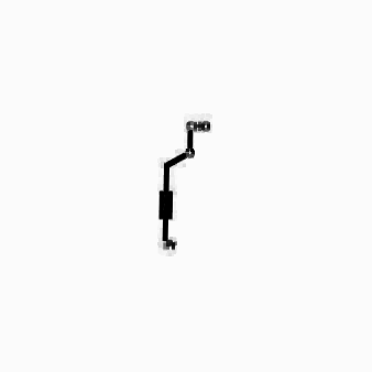 CC(C)C#CCOC=O